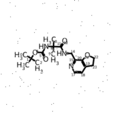 CC(C)(C)OC(=O)NC(C)(C)C(=O)NCc1nccc2c1OCC2